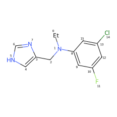 CCN(Cc1c[nH]cn1)c1cc(F)cc(Cl)c1